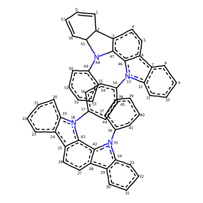 C1=CC2c3ccc4c5ccccc5n(-c5ccc(-n6c7ccccc7c7ccc8c9ccccc9n(-c9ccccc9)c8c76)cc5)c4c3N(c3ccccc3)C2C=C1